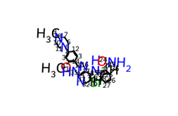 COc1cc(N2CCN(C)CC2)ccc1-c1nc2c(N[C@H]3[C@@H](C(N)=O)[C@@H]4C=C[C@H]3C4)c(Br)cnc2[nH]1